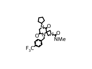 CNC(=O)N1CC2(C1)C(=O)N(C1CCCC1)CC(=O)N2Cc1ccc(C(F)(F)F)cc1